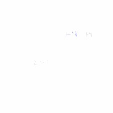 CC(=O)OCc1c(C)cc(NC(C)C)cc1C